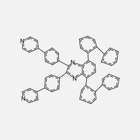 c1ccc(-c2ccccc2-c2ccc(-c3ccccc3-c3ccccc3)c3nc(-c4ccc(-c5ccncc5)cc4)c(-c4ccc(-c5ccncc5)cc4)nc23)cc1